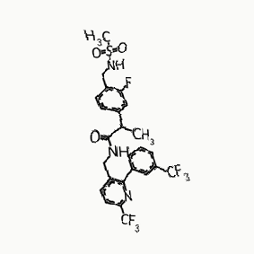 CC(C(=O)NCc1ccc(C(F)(F)F)nc1-c1cccc(C(F)(F)F)c1)c1ccc(CNS(C)(=O)=O)c(F)c1